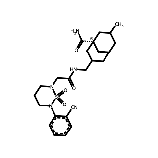 CC1CC2CC(CNC(=O)CN3CCCN(c4ccccc4C#N)S3(=O)=O)C[C@@](C(N)=O)(C1)C2